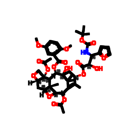 COc1ccc(OC)c(C(=O)O[C@H]2[C@@H]3[C@]4(OC(C)=O)CO[C@@H]4C[C@H]4O[C@@H](C(OC(C)=O)C5=C(C)[C@@H](OC(=O)[C@H](O)[C@@H](NC(=O)OC(C)(C)C)c6ccco6)C[C@]2(O)C5(C)C)[C@@]34C)c1